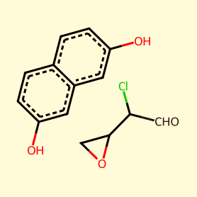 O=CC(Cl)C1CO1.Oc1ccc2ccc(O)cc2c1